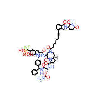 Cn1c(C(=O)N[C@H]2CN(C(=O)CCCCCC#Cc3cccc4c3CN(C3CCC(=O)NC3=O)C4=O)CC[C@H]3CC[C@@H](C(=O)N[C@@H](COC(N)=O)C(=O)NC(c4ccccc4)c4ccccc4)N3C2=O)cc2cc(C(F)(F)P(=O)(O)O)ccc21